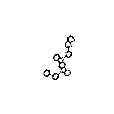 c1ccc(-c2cccc(-n3c4ccccc4c4cc5c(cc43)c3ccccc3n5-c3cccc(-c4ccc5cccnc5n4)n3)c2)cc1